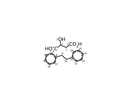 O=C(O)CC(O)C(=O)O.c1ccc(CCc2ccccc2)cc1